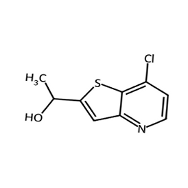 CC(O)c1cc2nccc(Cl)c2s1